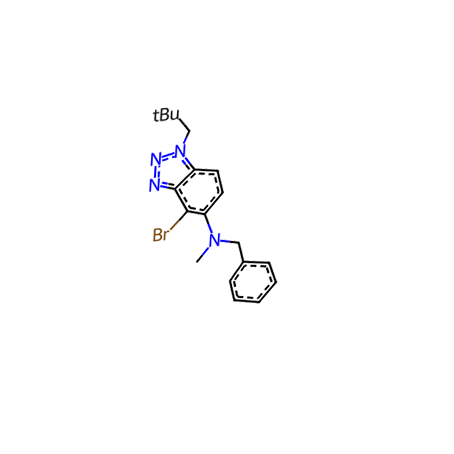 CN(Cc1ccccc1)c1ccc2c(nnn2CC(C)(C)C)c1Br